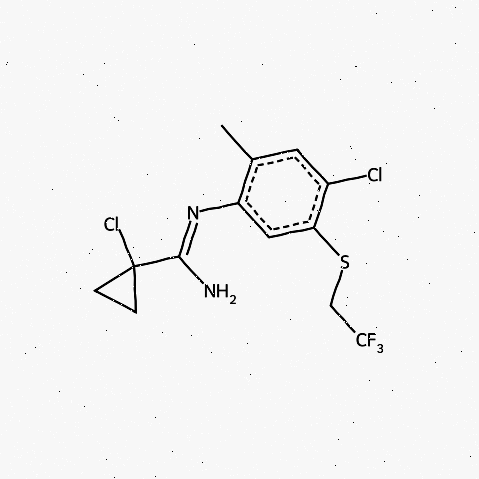 Cc1cc(Cl)c(SCC(F)(F)F)cc1/N=C(\N)C1(Cl)CC1